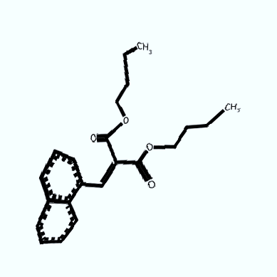 CCCCOC(=O)C(=Cc1cccc2ccccc12)C(=O)OCCCC